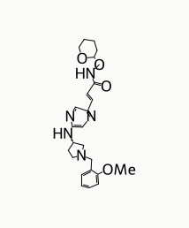 COc1ccccc1CN1CC[C@@H](Nc2cnc(/C=C/C(=O)NOC3CCCCO3)cn2)C1